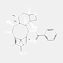 COC1C[C@@]2(O)[C@@H](OC(=O)c3ccccc3)[C@@H]3[C@]4(OC(C)=O)CO[C@@H]4C[C@H](C)[C@@]3(C)[C@@H](O)[C@@H](C)C(=C1C)C2(C)C